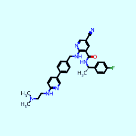 C[C@H](NC(=O)c1cc(C#N)cnc1NCc1ccc(-c2ccc(NCCN(C)C)nc2)cc1)c1ccc(F)cc1